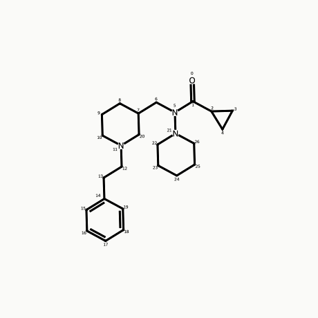 O=C(C1CC1)N(CC1CCCN(CCc2ccccc2)C1)N1CCCCC1